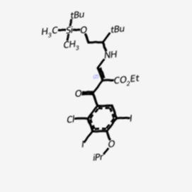 CCOC(=O)/C(=C\NC(CO[Si](C)(C)C(C)(C)C)C(C)(C)C)C(=O)c1cc(I)c(OC(C)C)c(I)c1Cl